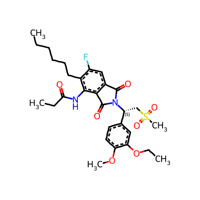 CCCCCCc1c(F)cc2c(c1NC(=O)CC)C(=O)N([C@H](CS(C)(=O)=O)c1ccc(OC)c(OCC)c1)C2=O